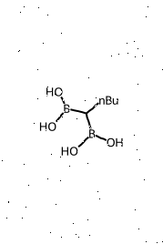 CCCCC(B(O)O)B(O)O